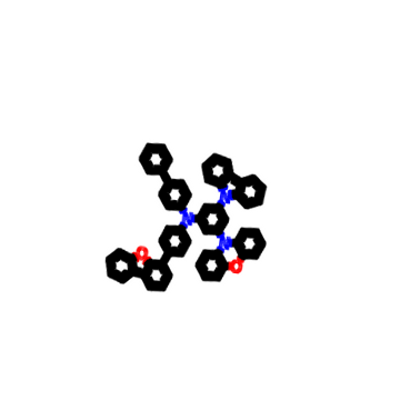 c1ccc(-c2ccc(N(c3ccc(-c4cccc5c4oc4ccccc45)cc3)c3cc(N4c5ccccc5Oc5ccccc54)cc(-n4c5ccccc5c5ccccc54)c3)cc2)cc1